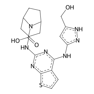 O=C(O)N1C2CCC1CC(Nc1nc(Nc3cc(CO)[nH]n3)c3ccsc3n1)C2